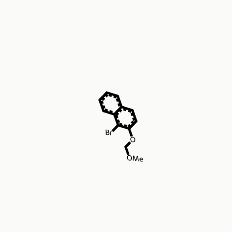 COCOc1ccc2ccccc2c1Br